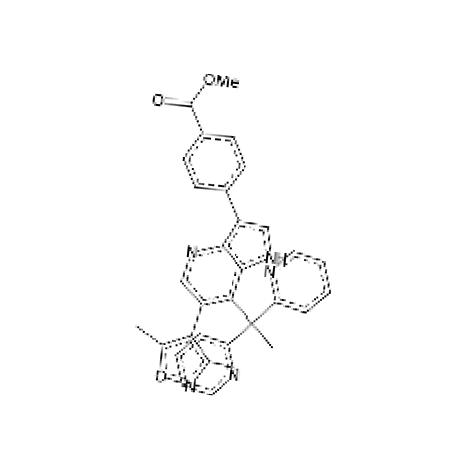 COC(=O)c1ccc(-c2c[nH]c3c(C(C)(c4ccccn4)c4ccccn4)c(-c4c(C)noc4C)cnc23)cc1